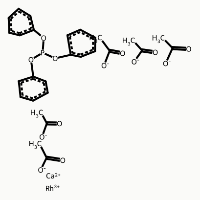 CC(=O)[O-].CC(=O)[O-].CC(=O)[O-].CC(=O)[O-].CC(=O)[O-].[Ca+2].[Rh+3].c1ccc(OP(Oc2ccccc2)Oc2ccccc2)cc1